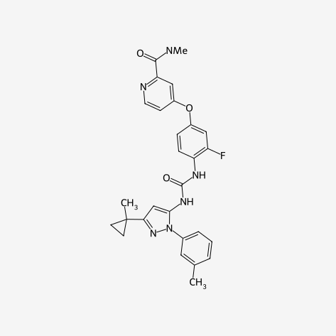 CNC(=O)c1cc(Oc2ccc(NC(=O)Nc3cc(C4(C)CC4)nn3-c3cccc(C)c3)c(F)c2)ccn1